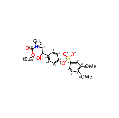 COc1ccc(S(=O)(=O)Oc2ccc(C(O)CN(C)C(=O)OC(C)(C)C)cc2)cc1OC